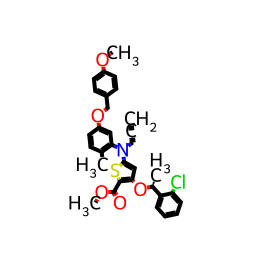 C=C=CN(c1cc(O[C@H](C)c2ccccc2Cl)c(C(=O)OC)s1)c1cc(OCc2ccc(OC)cc2)ccc1C